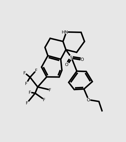 CCOc1ccc(S(=O)(=O)C23CCCNC2CCc2cc(C(F)(C(F)(F)F)C(F)(F)F)ccc23)cc1